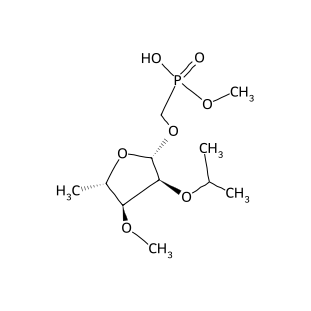 CO[C@@H]1[C@H](OC(C)C)[C@@H](OCP(=O)(O)OC)O[C@H]1C